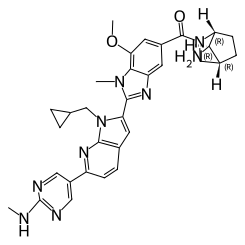 CNc1ncc(-c2ccc3cc(-c4nc5cc(C(=O)N6C[C@H]7CC[C@@H]6[C@@H]7N)cc(OC)c5n4C)n(CC4CC4)c3n2)cn1